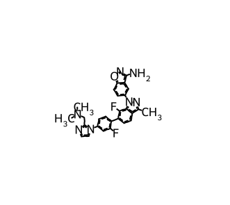 Cc1nn(-c2ccc3onc(N)c3c2)c2c(F)c(-c3ccc(-n4ccnc4CN(C)C)cc3F)ccc12